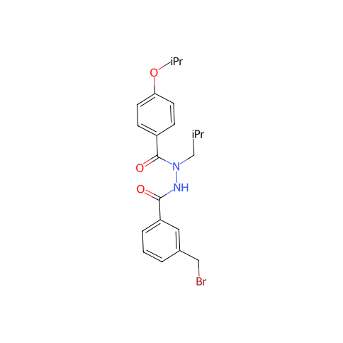 CC(C)CN(NC(=O)c1cccc(CBr)c1)C(=O)c1ccc(OC(C)C)cc1